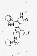 O=C1CC(c2cn3c4c(cc(F)cc24)CN(C(=O)N2CCCCC2)CC3)=C(c2nnc3ccccn23)CN1